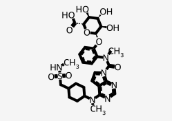 CNS(=O)(=O)CC1CCC(N(C)c2ncnc3c2ccn3C(=O)N(C)c2ccccc2O[C@@H]2O[C@H](C(=O)O)[C@@H](O)[C@H](O)[C@H]2O)CC1